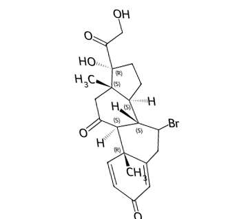 C[C@]12C=CC(=O)C=C1CC(Br)[C@@H]1[C@@H]2C(=O)C[C@@]2(C)[C@H]1CC[C@]2(O)C(=O)CO